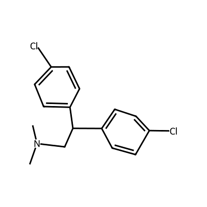 CN(C)CC(c1ccc(Cl)cc1)c1ccc(Cl)cc1